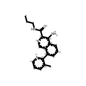 CCCNC(=O)c1ncc2c(-c3ncccc3C)cccc2c1N